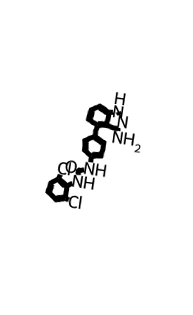 Nc1n[nH]c2cccc(-c3ccc(NC(=O)Nc4c(Cl)cccc4Cl)cc3)c12